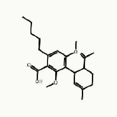 C=C(C)C1CCC(C)=CC1c1c(OC)cc(CCCCC)c(C(=O)O)c1OC